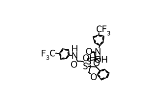 O=C(Nc1ccc(C(F)(F)F)cc1)C(O)SC1(SC(O)C(=O)Nc2ccc(C(F)(F)F)cc2)COc2ccccc2C1=O